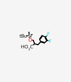 CC(C)(C)[Si](C)(C)OCC(Cc1ccc(F)c(F)c1)C(=O)O